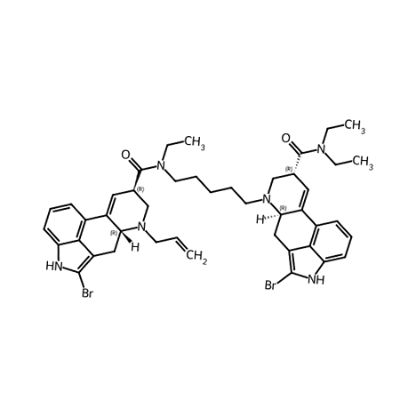 C=CCN1C[C@H](C(=O)N(CC)CCCCCN2C[C@H](C(=O)N(CC)CC)C=C3c4cccc5[nH]c(Br)c(c45)C[C@H]32)C=C2c3cccc4[nH]c(Br)c(c34)C[C@H]21